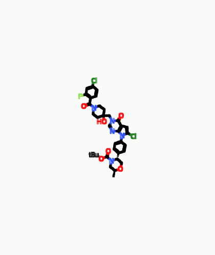 C[C@H]1CN(C(=O)OC(C)(C)C)[C@H](c2ccc(-n3c(Cl)cc4c(=O)n(CC5(O)CCN(C(=O)c6ccc(Cl)cc6F)CC5)cnc43)cc2)CO1